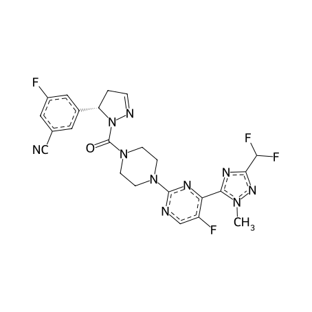 Cn1nc(C(F)F)nc1-c1nc(N2CCN(C(=O)N3N=CC[C@H]3c3cc(F)cc(C#N)c3)CC2)ncc1F